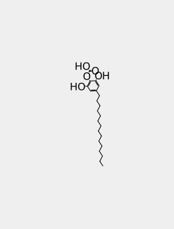 CCCCCCCCCCCCCCCc1cc(O)c(OC(=O)O)c(O)c1